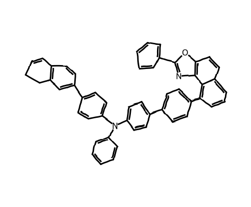 C1=Cc2ccc(-c3ccc(N(c4ccccc4)c4ccc(-c5ccc(-c6cccc7ccc8oc(-c9ccccc9)nc8c67)cc5)cc4)cc3)cc2CC1